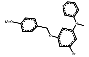 COc1ccc(COc2cc(Br)cc(N(C)c3cccnc3)c2)cc1